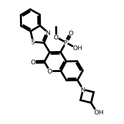 COP(=O)(O)c1c(-c2nc3ccccc3s2)c(=O)oc2cc(N3CC(O)C3)ccc12